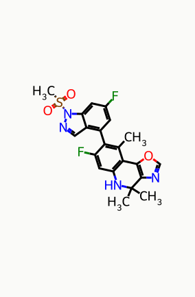 Cc1c(-c2cc(F)cc3c2cnn3S(C)(=O)=O)c(F)cc2c1-c1ocnc1C(C)(C)N2